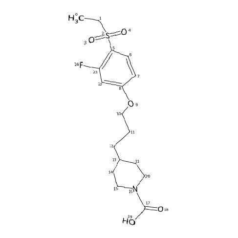 CCS(=O)(=O)c1ccc(OCCCC2CCN(C(=O)O)CC2)cc1F